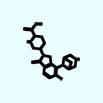 O=CC(=O)C1CCC(N2Cc3c(ccc(F)c3N3C4CNCC3C4)C2=O)CN1